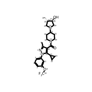 Cc1nn(-c2cccc(OC(F)(F)F)c2)c(C2CC2)c1C(=O)N1CCC(N2C[C@H](C)[C@@H](O)C2)CC1